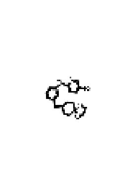 Brc1ccc(Oc2cccc(C=C3CCC4(CC3)OCCO4)c2)nc1